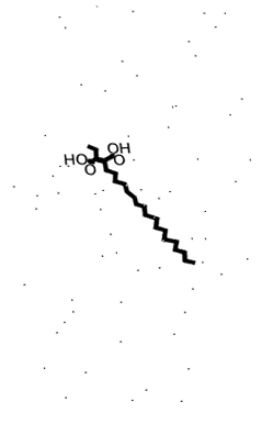 CCCCCCCCCCCCCCCCCCC(C(=O)O)=C(CC)C(=O)O